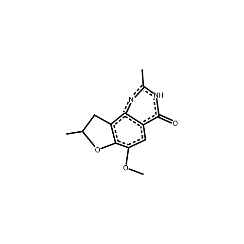 COc1cc2c(=O)[nH]c(C)nc2c2c1OC(C)C2